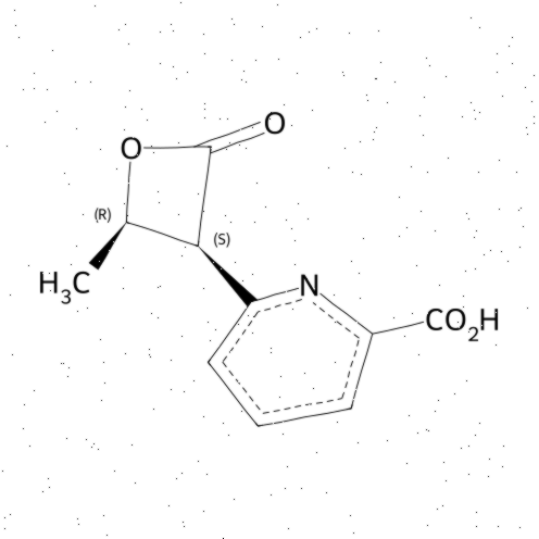 C[C@H]1OC(=O)[C@H]1c1cccc(C(=O)O)n1